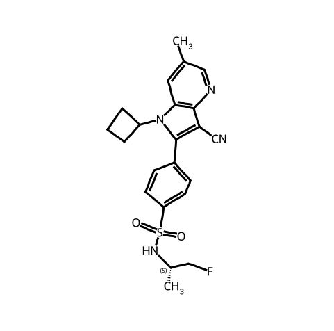 Cc1cnc2c(C#N)c(-c3ccc(S(=O)(=O)N[C@@H](C)CF)cc3)n(C3CCC3)c2c1